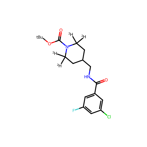 [2H]C1([2H])CC(CNC(=O)c2cc(F)cc(Cl)c2)CC([2H])([2H])N1C(=O)OC(C)(C)C